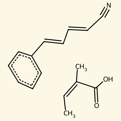 CC=C(C)C(=O)O.N#CC=CC=Cc1ccccc1